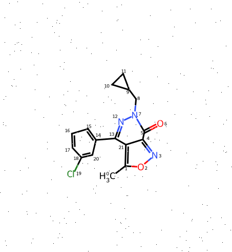 Cc1onc2c(=O)n(CC3CC3)nc(-c3cccc(Cl)c3)c12